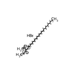 Br.CCCCCCCCCCCCCCCCCCCCCCCCC(C(=O)OCC)N(C)C